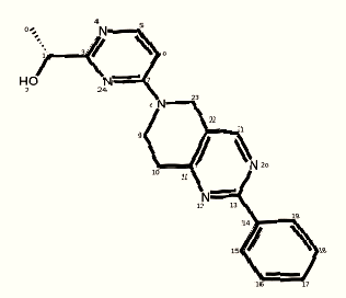 C[C@@H](O)c1nccc(N2CCc3nc(-c4ccccc4)ncc3C2)n1